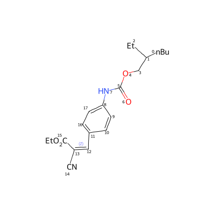 CCCCC(CC)COC(=O)Nc1ccc(/C=C(/C#N)C(=O)OCC)cc1